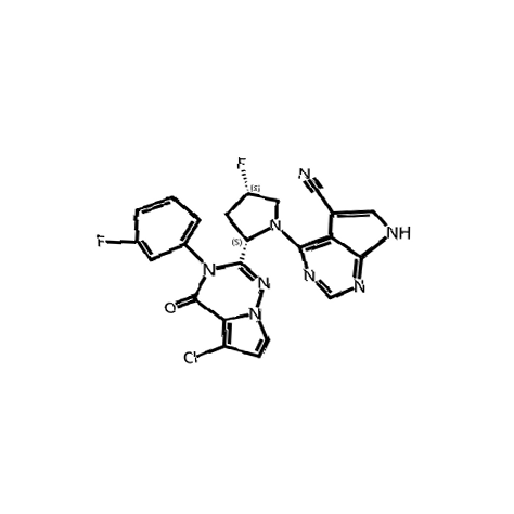 N#Cc1c[nH]c2ncnc(N3C[C@@H](F)C[C@H]3c3nn4ccc(Cl)c4c(=O)n3-c3cccc(F)c3)c12